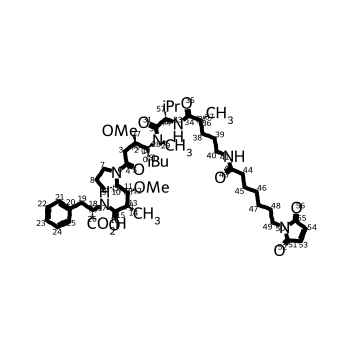 CC[C@H](C)[C@@H]([C@@H](CC(=O)N1CCC[C@H]1[C@H](OC)[C@@H](C)C(=O)N[C@@H](Cc1ccccc1)C(=O)O)OC)N(C)C(=O)[C@@H](NC(=O)[C@H](C)CCCNC(=O)CCCCCCN1C(=O)C=CC1=O)C(C)C